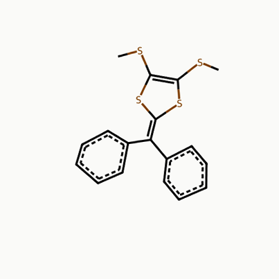 CSC1=C(SC)SC(=C(c2ccccc2)c2ccccc2)S1